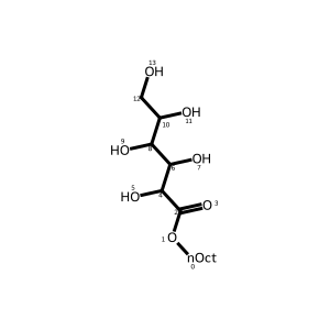 CCCCCCCCOC(=O)C(O)C(O)C(O)C(O)CO